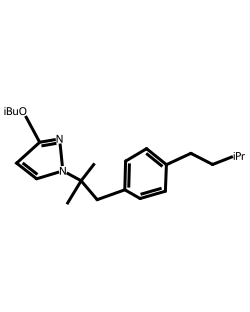 CC(C)CCc1ccc(CC(C)(C)n2ccc(OCC(C)C)n2)cc1